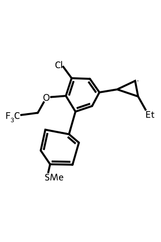 CCC1[CH]C1c1cc(Cl)c(OCC(F)(F)F)c(-c2ccc(SC)cc2)c1